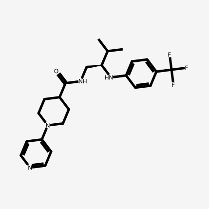 CC(C)[C@H](CNC(=O)C1CCN(c2ccncc2)CC1)Nc1ccc(C(F)(F)F)cc1